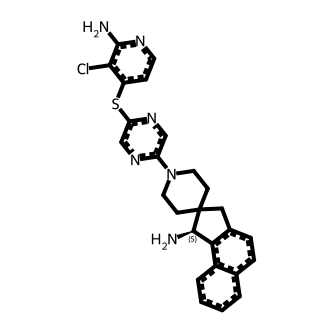 Nc1nccc(Sc2cnc(N3CCC4(CC3)Cc3ccc5ccccc5c3[C@H]4N)cn2)c1Cl